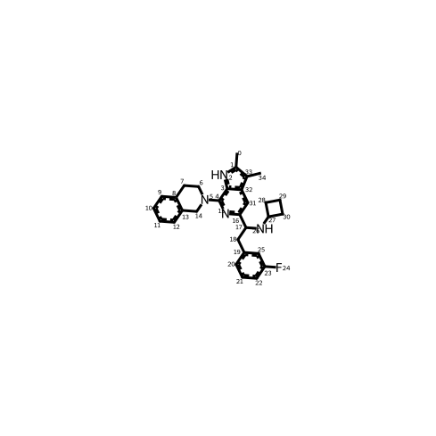 Cc1[nH]c2c(N3CCc4ccccc4C3)nc(C(Cc3cccc(F)c3)NC3CCC3)cc2c1C